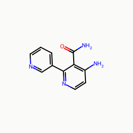 NC(=O)c1c(N)ccnc1-c1cccnc1